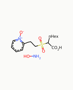 CCCCCCC(C(=O)O)S(=O)(=O)CCc1cccc[n+]1[O-].NO